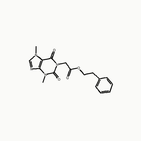 Cn1cnc2c1c(=O)n(CC(=O)OCCc1ccccc1)c(=O)n2C